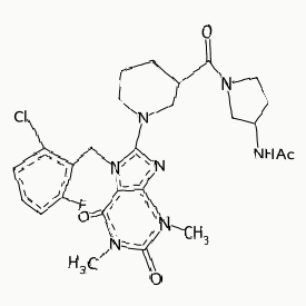 CC(=O)NC1CCN(C(=O)C2CCCN(c3nc4c(c(=O)n(C)c(=O)n4C)n3Cc3c(F)cccc3Cl)C2)C1